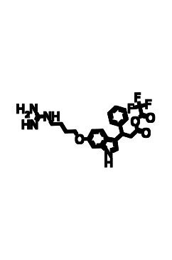 N=C(N)NCCCCOc1ccc2c(C(CC(=O)OC(=O)C(F)(F)F)c3ccccc3)c[nH]c2c1